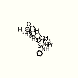 CC(C)N(C(=O)[C@H]1CC[C@H]2[C@@H]3CC[C@H]4N(C)C(=O)C=C[C@]4(C)[C@H]3CC[C@]12C)C(=S)Nc1ccccc1